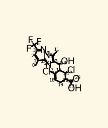 Cc1cc(C(F)(F)F)nn2c(C)c(C(O)[C@@H]3C(Cl)=CCC(C(=O)O)C3Cl)nc12